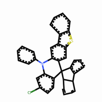 Clc1ccc2c(c1)N(c1ccccc1)c1cc3c(cc1C21c2ccccc2C2C=CC=CC21)sc1ccccc13